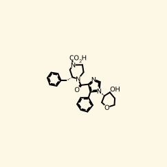 O=C(O)N1CCN(C(=O)c2ncn([C@H]3COCC[C@H]3O)c2-c2ccccc2)[C@H](Cc2ccccc2)C1